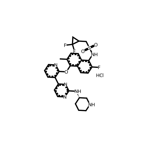 Cc1ccc2c(NS(=O)(=O)CC3CC3(F)F)c(F)ccc2c1Oc1ncccc1-c1ccnc(N[C@H]2CCCNC2)n1.Cl